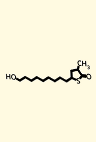 CC1CC(CCCCCCCCCO)SC1=O